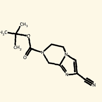 CC(C)(C)OC(=O)N1CCn2cc(C#N)nc2C1